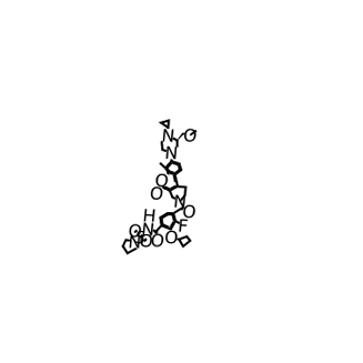 COC[C@H]1CN(c2ccc3c4c(c(=O)oc3c2C)CN(C(=O)c2ccc(C(=O)NS(=O)(=O)N3CCCC3)c(OC3CCC3)c2F)CC4)CCN1C1CC1